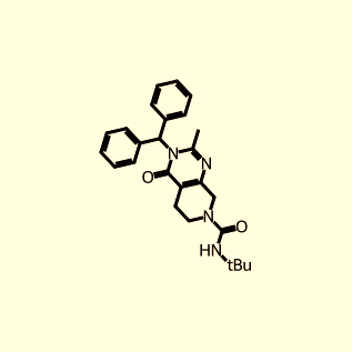 Cc1nc2c(c(=O)n1C(c1ccccc1)c1ccccc1)CCN(C(=O)NC(C)(C)C)C2